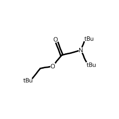 CC(C)(C)COC(=O)N(C(C)(C)C)C(C)(C)C